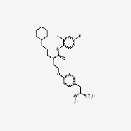 CCOC(Cc1ccc(OCCN(CCCC2CCCCC2)C(=O)Nc2ccc(F)cc2F)cc1)C(=O)O